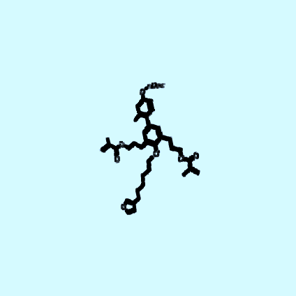 C=C(C)C(=O)OCCCc1cc(-c2ccc(OCCCCCCCCCC)cc2C)cc(CCCOC(=O)C(=C)C)c1OCCCCCCc1ccoc1